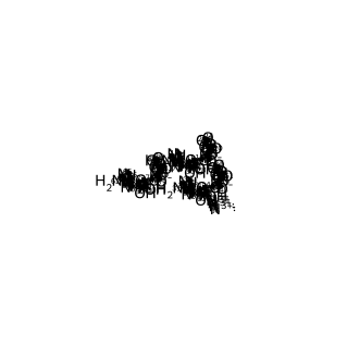 Nc1ncnc2c1ncn2[C@@H]1O[C@H](COP(=O)([O-])OP(=O)([O-])OP(=O)([O-])[O-])[C@@H](O)[C@H]1O.Nc1ncnc2c1ncn2[C@@H]1O[C@H](COP(=O)([O-])OP(=O)([O-])OP(=O)([O-])[O-])[C@@H](O)[C@H]1O.Nc1ncnc2c1ncn2[C@@H]1O[C@H](COP(=O)([O-])OP(=O)([O-])OP(=O)([O-])[O-])[C@@H](O)[C@H]1O.[N+3].[N+3].[N+3].[N+3]